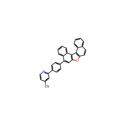 N#Cc1ccnc(-c2ccc(-c3cc4oc5ccc6ccccc6c5c4c4ccccc34)cc2)c1